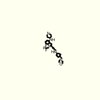 CN1CCC(Nc2cccc3c2cc(C#CCNc2ccc(CN4CCOCC4)cc2)n3CC(F)(F)F)CC1